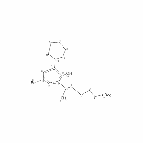 CCCCCCCCCCCCCCC(C)c1cc(C(C)(C)C)cc(C2CCCCC2)c1O